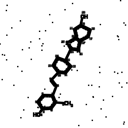 Cc1cc(O)ccc1/C=C/c1ccc(-c2nc3ccc(O)cc3s2)cc1